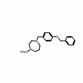 CCCCCN1CCCN(Cc2ccc(OCc3ccccc3)cc2)CC1